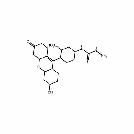 NNC(=S)NC1CCC(C2=C3CCC(=O)CC3OC3CC(O)CCC23)C(C(=O)O)C1